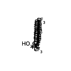 O=C(O)C(=C(F)C(F)(F)C(F)(F)C(F)(F)C(F)(F)C(F)(F)C(F)(F)C(F)(F)C(F)(F)C(F)(F)C(F)(F)C(F)(F)C(F)(F)F)C(F)(F)C(F)(F)F